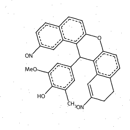 COc1cc(C2c3c(ccc4c3C=C(N=O)CC4)Oc3ccc4ccc(N=O)cc4c32)cc(C)c1O